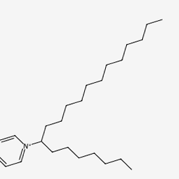 CCCCCCCCCCCCC(CCCCCCC)[n+]1ccccc1